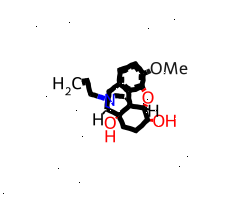 C=CCN1CC[C@]23c4c5ccc(OC)c4O[C@H]2[C@@H](O)CC[C@@]3(O)[C@H]1C5